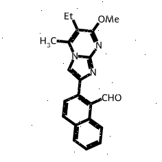 CCc1c(OC)nc2nc(-c3ccc4ccccc4c3C=O)cn2c1C